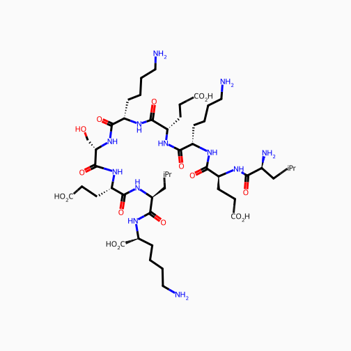 CC(C)C[C@H](NC(=O)[C@H](CCC(=O)O)NC(=O)[C@H](CO)NC(=O)[C@H](CCCCN)NC(=O)[C@H](CCC(=O)O)NC(=O)[C@H](CCCCN)NC(=O)[C@H](CCC(=O)O)NC(=O)[C@@H](N)CC(C)C)C(=O)N[C@@H](CCCCN)C(=O)O